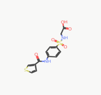 O=C(O)CNS(=O)(=O)c1ccc(NC(=O)c2ccsc2)cc1